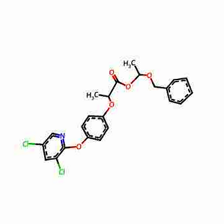 CC(OCc1ccccc1)OC(=O)C(C)Oc1ccc(Oc2ncc(Cl)cc2Cl)cc1